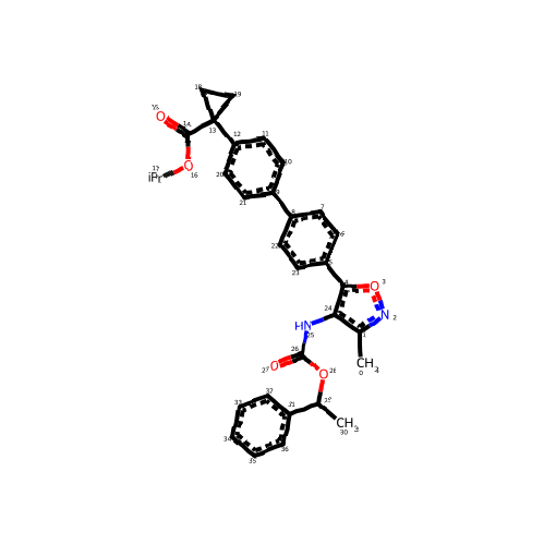 Cc1noc(-c2ccc(-c3ccc(C4(C(=O)OC(C)C)CC4)cc3)cc2)c1NC(=O)OC(C)c1ccccc1